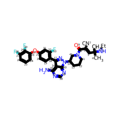 CCNC(C)(C)C=C(C#N)C(=O)N1CCCC(n2nc(-c3ccc(Oc4cccc(F)c4F)cc3F)c3c(N)ncnc32)C1